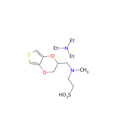 CCN(CC)CC.CN(CCS(=O)(=O)O)CC1COc2cscc2O1